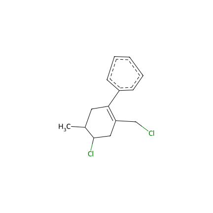 CC1CC(c2ccccc2)=C(CCl)CC1Cl